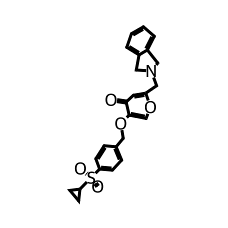 O=c1cc(CN2Cc3ccccc3C2)occ1OCc1ccc(S(=O)(=O)C2CC2)cc1